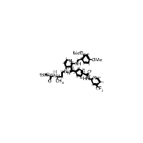 COc1ccc(CNc2nccc3c2c(-c2ccc(C(=O)Nc4cc(C(F)(F)F)ccn4)cc2)nn3CC[C@@H](C)NC(=O)OC(C)(C)C)c(OC)c1